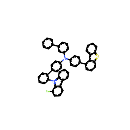 Fc1cccc2c3ccccc3n(-c3ccccc3-c3ccc(N(c4ccc(-c5cccc6sc7ccccc7c56)cc4)c4cccc(-c5ccccc5)c4)cc3)c12